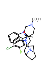 Cc1nc2ccccc2n1C1CC2CCC(C1)N2CCC1(c2ccc(Cl)c(F)c2)CCN(C(=O)O)CC1